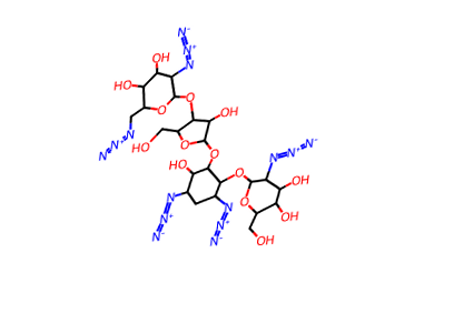 [N-]=[N+]=NCC1OC(OC2C(CO)OC(OC3C(O)C(N=[N+]=[N-])CC(N=[N+]=[N-])C3OC3OC(CO)C(O)C(O)C3N=[N+]=[N-])C2O)C(N=[N+]=[N-])C(O)C1O